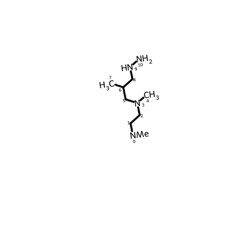 CNCCN(C)CC(C)CNN